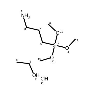 CCO.CO[Si](CCCN)(OC)OC.Cl